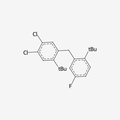 CC(C)(C)c1ccc(F)cc1Cc1cc(Cl)c(Cl)cc1C(C)(C)C